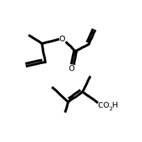 C=CC(=O)OC(C)C=C.CC(C)=C(C)C(=O)O